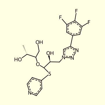 C[C@@H](O)C(CO)OC(Sc1ccncc1)[C@@H](O)Cn1cc(-c2cc(F)c(F)c(F)c2)nn1